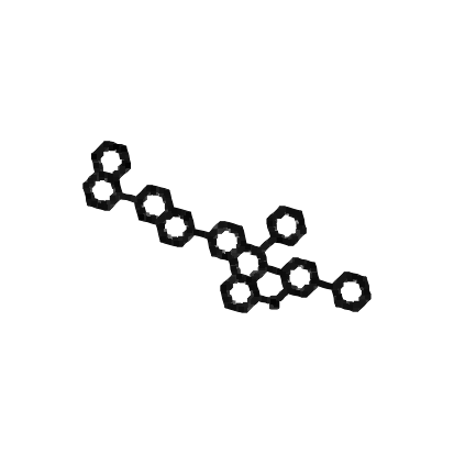 c1ccc(-c2ccc3c(c2)Sc2cccc4c2c-3c(-c2ccccc2)c2ccc(-c3ccc5cc(-c6cccc7ccccc67)ccc5c3)cc24)cc1